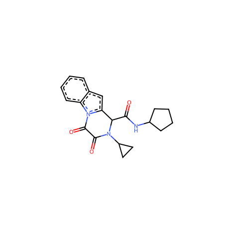 O=C(NC1CCCC1)C1c2cc3ccccc3n2C(=O)C(=O)N1C1CC1